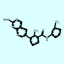 CNc1ncc2cc(-c3cccc(C(=O)Nc4cccc(C(F)(F)F)c4)c3C)cnc2n1